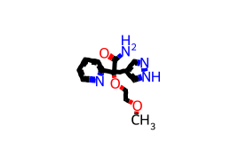 COCCOC(C(N)=O)(c1cn[nH]c1)c1ccccn1